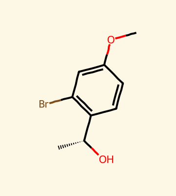 COc1ccc([C@@H](C)O)c(Br)c1